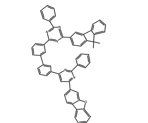 CC1(C)c2ccccc2-c2cc(-c3nc(-c4ccccc4)nc(-c4cccc(-c5cccc(-c6cc(-c7ccc8c(c7)oc7ccccc78)nc(-c7ccccc7)n6)c5)c4)n3)ccc21